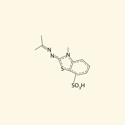 CC(C)=NN=c1sc2c(S(=O)(=O)O)cccc2n1C